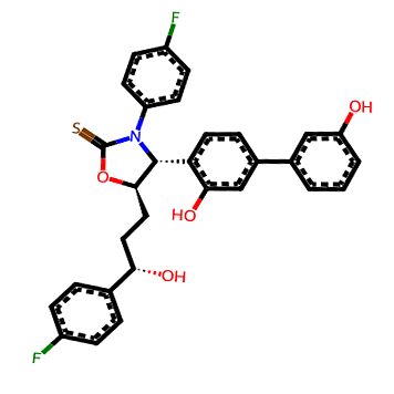 Oc1cccc(-c2ccc([C@@H]3[C@@H](CC[C@H](O)c4ccc(F)cc4)OC(=S)N3c3ccc(F)cc3)c(O)c2)c1